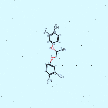 CCCC(COc1ccc(C#N)c(C(F)(F)F)c1)Oc1ccc(C#N)c(C(F)(F)F)c1